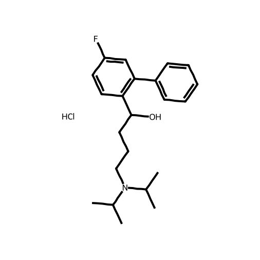 CC(C)N(CCCC(O)c1ccc(F)cc1-c1ccccc1)C(C)C.Cl